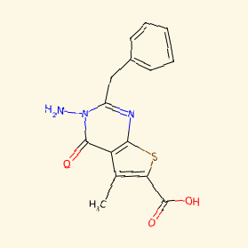 Cc1c(C(=O)O)sc2nc(Cc3ccccc3)n(N)c(=O)c12